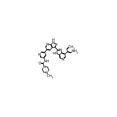 C=C/C(=C\N)c1cncc2[nH]c(-c3n[nH]c4ncc(-c5cncc(NC(=O)N6CCN(C)CC6)c5)cc34)nc12